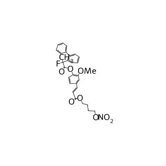 COc1cc(C=CC(=O)OCCCCO[N+](=O)[O-])ccc1OC(=O)C(C)(F)c1ccccc1-c1ccccc1